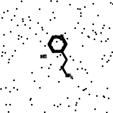 Cl.NOCc1cccnc1